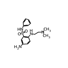 CN(C)CCNc1ccc(N)cc1S(=O)(=O)Nc1ccccc1